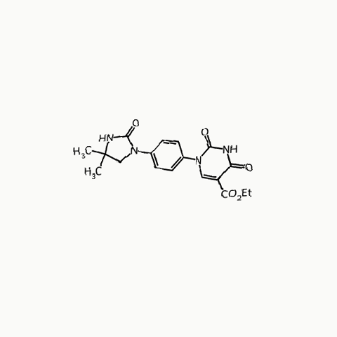 CCOC(=O)c1cn(-c2ccc(N3CC(C)(C)NC3=O)cc2)c(=O)[nH]c1=O